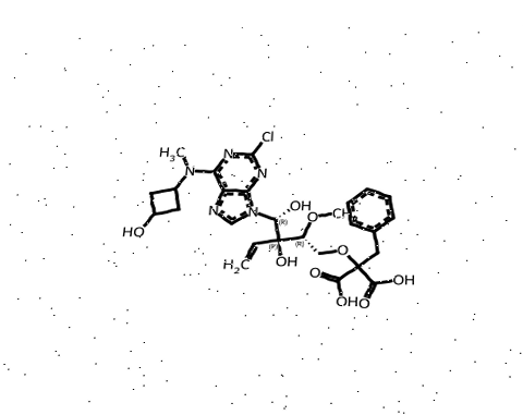 C=C[C@@](O)([C@@H](COC(Cc1ccccc1)(C(=O)O)C(=O)O)OC)[C@@H](O)n1cnc2c(N(C)C3CC(O)C3)nc(Cl)nc21